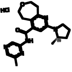 Cc1cncc(NC(=O)c2cc(N3CCC[C@@H]3C)nc3c2CCOCC3)n1.Cl